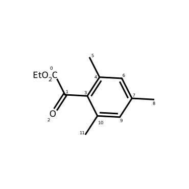 CCOC(=O)C(=O)c1c(C)cc(C)cc1C